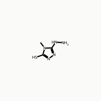 Cn1c(S)nnc1NN